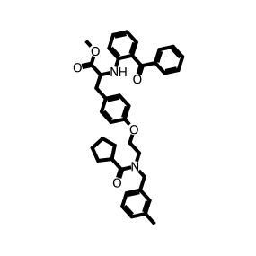 COC(=O)C(Cc1ccc(OCCN(Cc2cccc(C)c2)C(=O)C2CCCC2)cc1)Nc1ccccc1C(=O)c1ccccc1